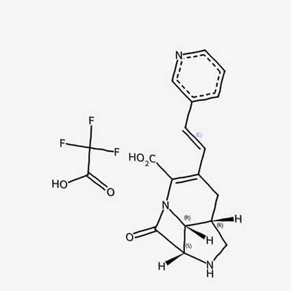 O=C(O)C(F)(F)F.O=C(O)C1=C(/C=C/c2cccnc2)C[C@@H]2CN[C@@H]3C(=O)N1[C@H]23